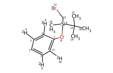 [2H]c1cc([2H])c([2H])c(O[Si](C)(CBr)C(C)(C)C)c1[2H]